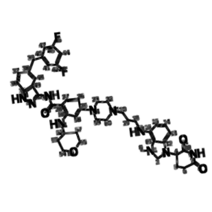 CN1CN(C2CCC(=O)NC2=O)c2cccc(NCCCN3CCN(c4ccc(C(=O)Nc5n[nH]c6ccc(Cc7cc(F)cc(F)c7)cc56)c(NC5CCOCC5)c4)CC3)c21